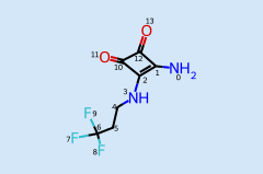 Nc1c(NCCC(F)(F)F)c(=O)c1=O